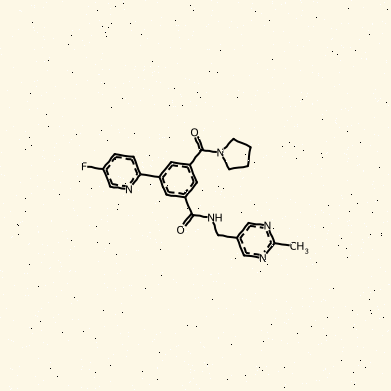 Cc1ncc(CNC(=O)c2cc(C(=O)N3CCCC3)cc(-c3ccc(F)cn3)c2)cn1